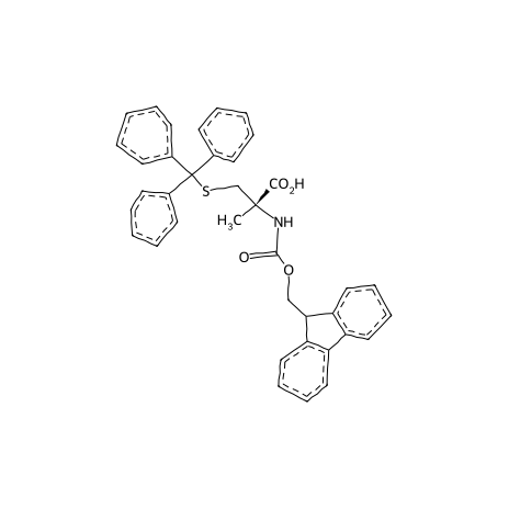 C[C@](CSC(c1ccccc1)(c1ccccc1)c1ccccc1)(NC(=O)OCC1c2ccccc2-c2ccccc21)C(=O)O